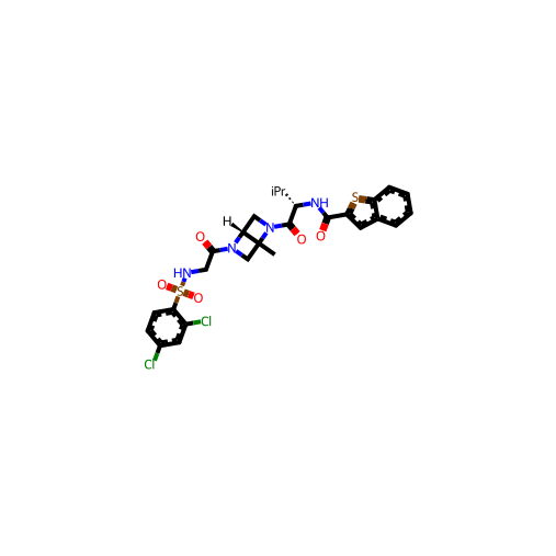 CC(C)[C@H](NC(=O)c1cc2ccccc2s1)C(=O)N1C[C@H]2N(C(=O)CNS(=O)(=O)c3ccc(Cl)cc3Cl)CC21C